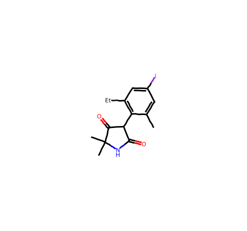 CCc1cc(I)cc(C)c1C1C(=O)NC(C)(C)C1=O